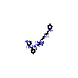 c1ccc2c(NC3CCNCC3)nc(NCc3cn(CCCNCCCNC4CCCCC4)nn3)nc2c1